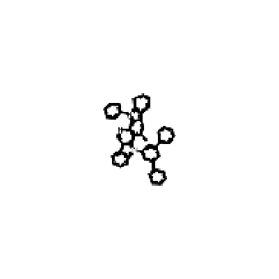 Cc1cc2c3ccccc3n(-c3ccccc3)c2c2ncc3c4ccccc4n(-c4cc(-c5ccccc5)cc(-c5ccccc5)c4)c3c12